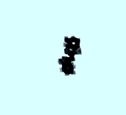 CC1CCCC(NC(=O)Cn2nnc3ccccc32)C1C